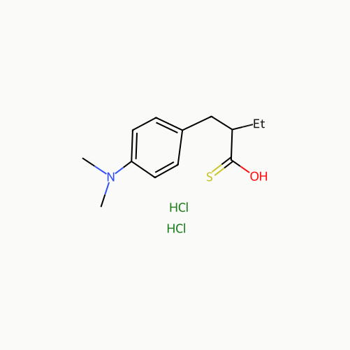 CCC(Cc1ccc(N(C)C)cc1)C(O)=S.Cl.Cl